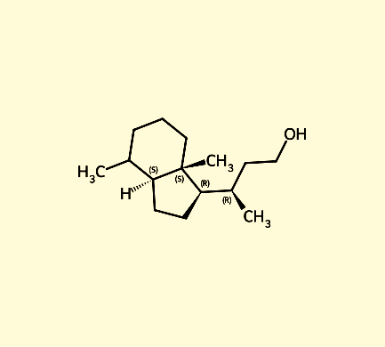 CC1CCC[C@]2(C)[C@@H]([C@H](C)CCO)CC[C@@H]12